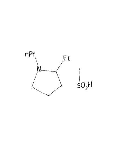 CCCN1CCCC1CC.CS(=O)(=O)O